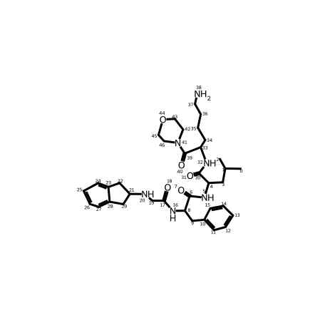 CC(C)CC(NC(=O)C(Cc1ccccc1)NC(=O)CNC1Cc2ccccc2C1)C(=O)NC(CCCCN)C(=O)N1CCOCC1